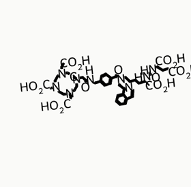 O=C(O)CC[C@@H](NC(=O)N[C@H](CCCCN(Cc1nccc2ccccc12)C(=O)c1ccc(CNC(=O)CN2CCN(CC(=O)O)CCN(CC(=O)O)CCN(CC(=O)O)CC2)cc1)C(=O)O)C(=O)O